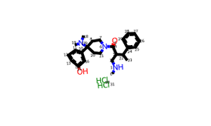 CNCC(C(=O)N1CCC(c2cccc(O)c2)(N(C)C)CC1)C(C)c1ccccc1.Cl.Cl